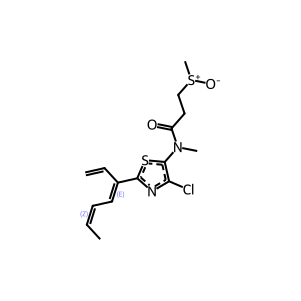 C=C/C(=C\C=C/C)c1nc(Cl)c(N(C)C(=O)CC[S+](C)[O-])s1